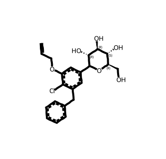 C=CCOc1cc(C2O[C@H](CO)[C@@H](O)[C@H](O)[C@H]2O)cc(Cc2ccccc2)c1Cl